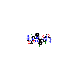 CC[C@H](NC(=O)[C@H](C)NC)C(=O)N1C[C@@H](F)C[C@H]1Cc1c(-c2nc3cc(F)ccc3n2C[C@@H]2C[C@H](F)CN2C(=O)[C@@H](NC(=O)[C@H](C)NC)C(C)C)[nH]c2cc(F)ccc12